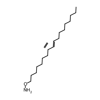 C=C.CCCCCCCCC=CCCCCCCCCON